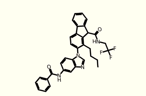 CCCCc1c(-n2cnc3cc(NC(=O)c4ccccc4)ccc32)ccc2c1C(C(=O)NCC(F)(F)F)c1ccccc1-2